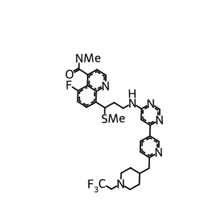 CNC(=O)c1ccnc2c(C(CCNc3cc(-c4ccc(CC5CCN(CC(F)(F)F)CC5)nc4)ncn3)SC)ccc(F)c12